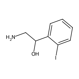 NCC(O)c1ccccc1I